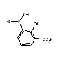 O=C(O)c1cccc(N(O)O)c1O